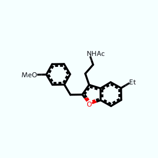 CCc1ccc2oc(Cc3cccc(OC)c3)c(CCNC(C)=O)c2c1